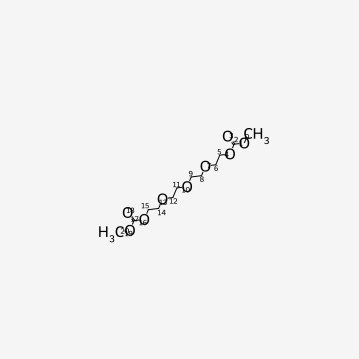 COC(=O)OCCOCCOCCOCCOC(=O)OC